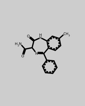 Cc1ccc2c(c1)NC(=O)C(C(N)=O)N=C2c1ccccc1